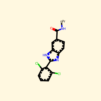 CCCNC(=O)c1ccc2nc(-c3c(Cl)cccc3Cl)[nH]c2c1